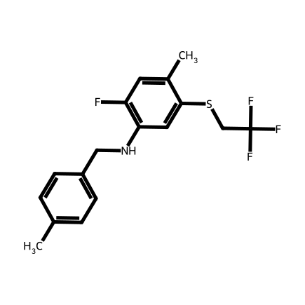 Cc1ccc(CNc2cc(SCC(F)(F)F)c(C)cc2F)cc1